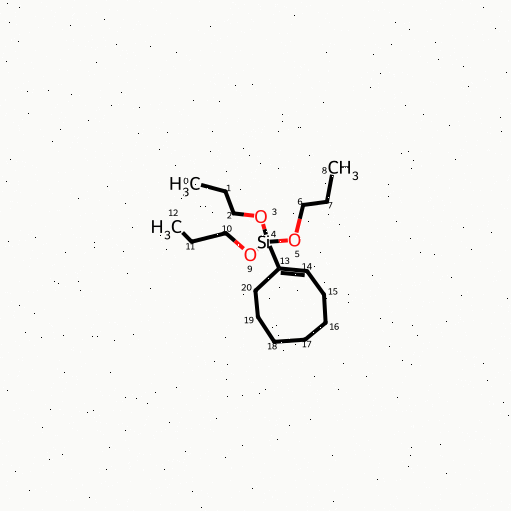 CCCO[Si](OCCC)(OCCC)C1=CCCCCCC1